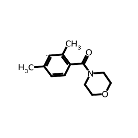 Cc1[c]c(C)c(C(=O)N2CCOCC2)cc1